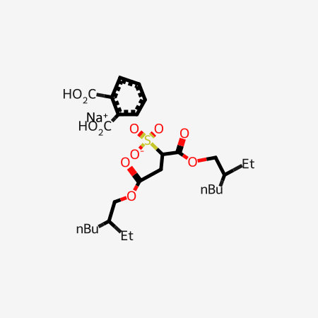 CCCCC(CC)COC(=O)CC(C(=O)OCC(CC)CCCC)S(=O)(=O)[O-].O=C(O)c1ccccc1C(=O)O.[Na+]